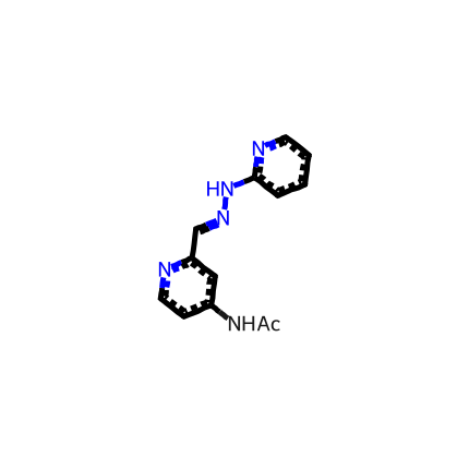 CC(=O)Nc1ccnc(C=NNc2ccccn2)c1